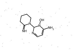 N=C1CCCCN1C1N=CC=C(N)N1O